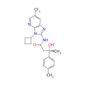 Cc1ccc([C@@](C)(O)CC(=O)Nc2nc3cc(C(F)(F)F)cnc3n2C2CCC2)cc1